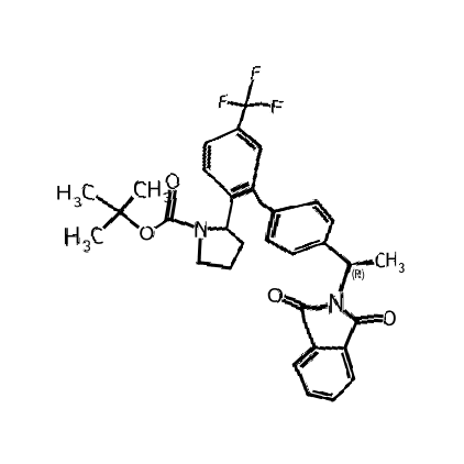 C[C@H](c1ccc(-c2cc(C(F)(F)F)ccc2C2CCCN2C(=O)OC(C)(C)C)cc1)N1C(=O)c2ccccc2C1=O